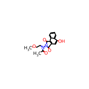 COCCN(C(C)=O)N1C(=O)c2cc(O)c3ccccc3c2C1=O